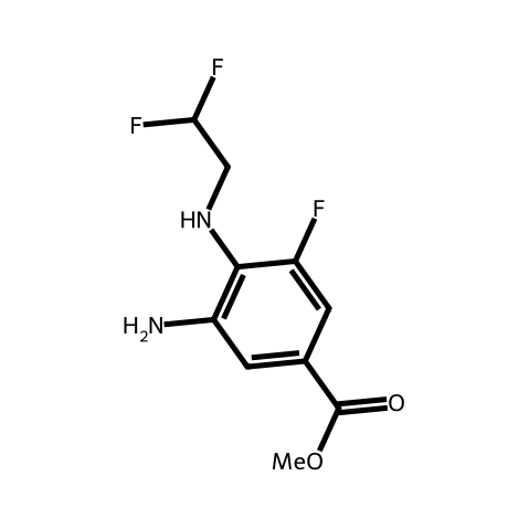 COC(=O)c1cc(N)c(NCC(F)F)c(F)c1